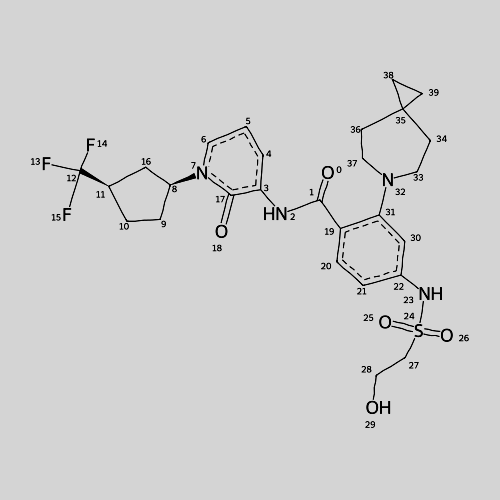 O=C(Nc1cccn([C@H]2CC[C@@H](C(F)(F)F)C2)c1=O)c1ccc(NS(=O)(=O)CCO)cc1N1CCC2(CC1)CC2